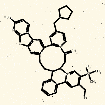 C=C1CC2C(CCc3cc4oc5nc(C)ccc5c4cc3-c3cc(CC4CCCC4)cc[n+]31)c1ccccc1-c1cc(CC(C)C)c([Si](C)(C)C)c[n+]12